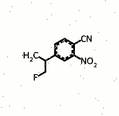 [CH2]C(CF)c1ccc(C#N)c([N+](=O)[O-])c1